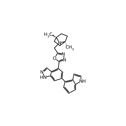 C[C@]12CC[C@@](C)(CC1)N2Cc1nnc(-c2cc(-c3cccc4[nH]ccc34)cc3[nH]ncc23)o1